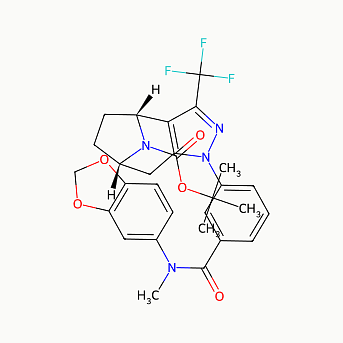 CN(C(=O)c1cccc(-n2nc(C(F)(F)F)c3c2C[C@@H]2CC[C@H]3N2C(=O)OC(C)(C)C)c1)c1ccc2c(c1)OCO2